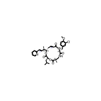 COc1ccc(C[C@H]2NC(=O)/C=C/C[C@@H]([C@H](C)/C=C/c3ccccn3)OC(=O)[C@H](CC(C)C)OC(=O)[C@H](C)CNC2=O)cc1Cl